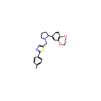 Cc1ccc(-c2ncc(CN3CCCC3c3ccc4c(c3)OCCO4)s2)cc1